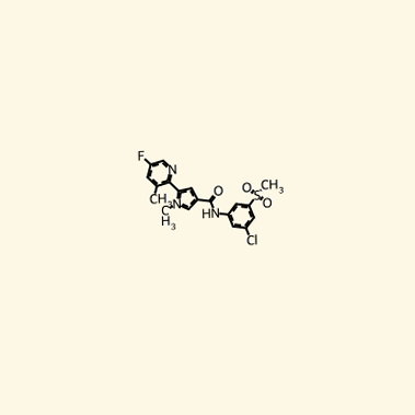 Cc1cc(F)cnc1-c1cc(C(=O)Nc2cc(Cl)cc(S(C)(=O)=O)c2)cn1C